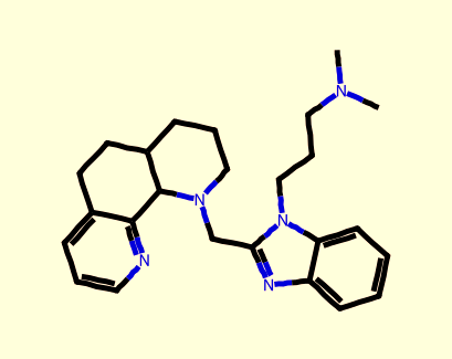 CN(C)CCCn1c(CN2CCCC3CCc4cccnc4C32)nc2ccccc21